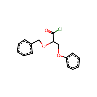 O=C(Cl)C(COc1ccccc1)OCc1ccccc1